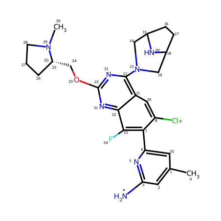 Cc1cc(N)nc(-c2c(Cl)cc3c(N4CC5CCC(C4)N5)nc(OC[C@@H]4CCCN4C)nc3c2F)c1